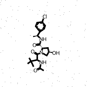 CC(=O)NC(C(=O)N1C[C@H](O)C[C@H]1C(=O)N[C@@H](C)c1ccc(Cl)cc1)C(C)(C)C